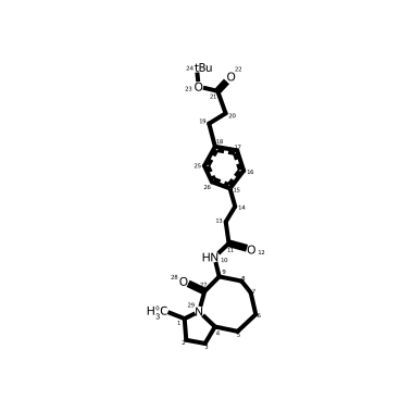 CC1CCC2CCCCC(NC(=O)CCc3ccc(CCC(=O)OC(C)(C)C)cc3)C(=O)N12